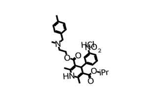 CC1=C(C(=O)OCCN(C)Cc2ccc(C)cc2)C(c2cccc([N+](=O)[O-])c2)C(C(=O)OC(C)C)=C(C)N1.Cl